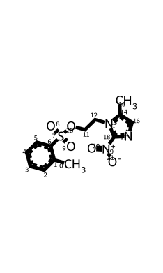 Cc1ccccc1S(=O)(=O)OCCn1c(C)cnc1[N+](=O)[O-]